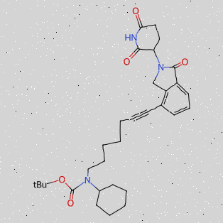 CC(C)(C)OC(=O)N(CCCCCC#Cc1cccc2c1CN(C1CCC(=O)NC1=O)C2=O)C1CCCCC1